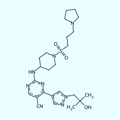 CC(C)(O)Cn1cc(-c2nc(NC3CCN(S(=O)(=O)CCCN4CCCC4)CC3)ncc2C#N)cn1